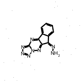 N/N=C1/c2ccccc2-c2nc3nnnn3nc21